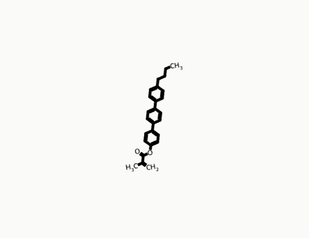 C=C(C)C(=O)Oc1ccc(-c2ccc(-c3ccc(CCCC)cc3)cc2)cc1